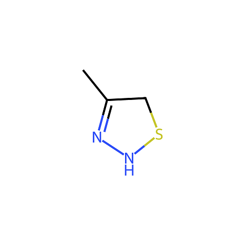 CC1=NNSC1